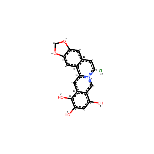 Oc1cc(O)c2c[n+]3ccc4cc5c(cc4c3cc2c1O)OCO5.[Cl-]